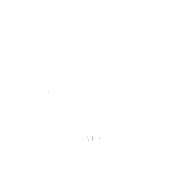 Oc1ccc2ccccc2c1CI